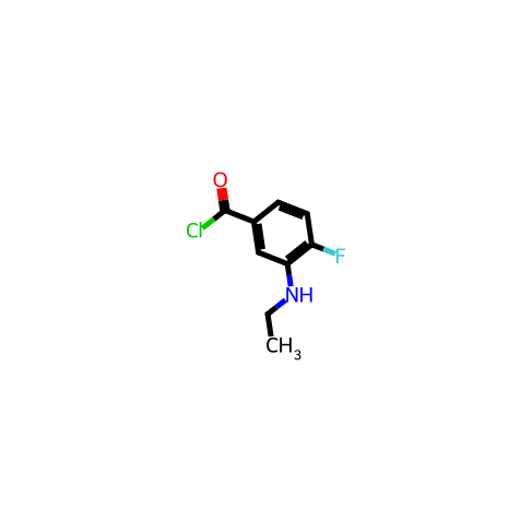 CCNc1cc(C(=O)Cl)ccc1F